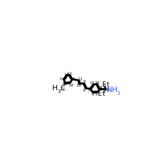 CCC(N)(CC)c1ccc(/C=C/C=C/c2cccc(C)c2)cc1